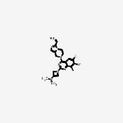 C=Cc1ncc2n1CCN(c1nc(N3CC(N(C)C)C3)nc3c(F)c(Br)c(Cl)cc13)C2